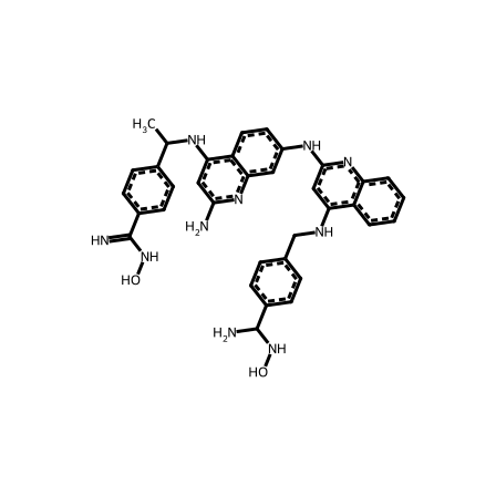 CC(Nc1cc(N)nc2cc(Nc3cc(NCc4ccc(C(N)NO)cc4)c4ccccc4n3)ccc12)c1ccc(C(=N)NO)cc1